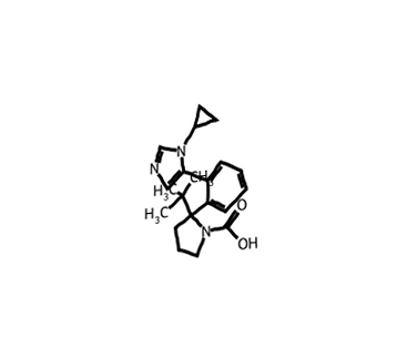 CC(C)(C)C1(c2ccccc2-c2cncn2C2CC2)CCCN1C(=O)O